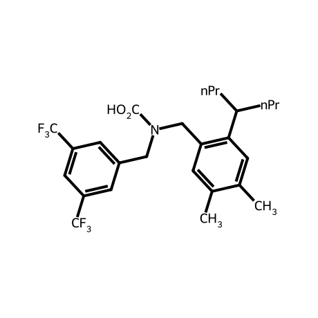 CCCC(CCC)c1cc(C)c(C)cc1CN(Cc1cc(C(F)(F)F)cc(C(F)(F)F)c1)C(=O)O